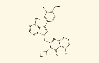 COc1ccc(-c2nn(Cc3nc4cccc(F)c4c(=O)n3C3CCC3)c3ncnc(N)c23)cc1F